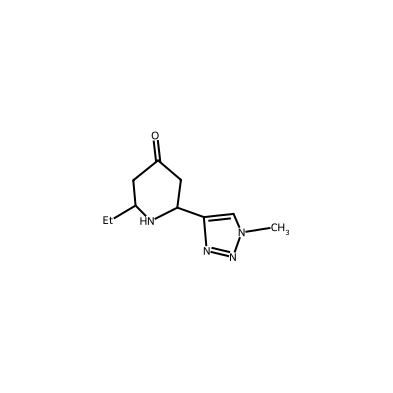 CCC1CC(=O)CC(c2cn(C)nn2)N1